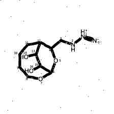 [N-]=[NH+]NCC1OC2OCCCCC1C(O)C2O